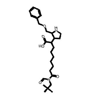 CC(C)(C)CN(C=O)C(=O)CCCCCCC(C(=O)O)C1CCNC1COCc1ccccc1